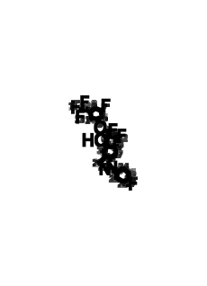 OC(COc1cc(F)cc(C(F)(F)F)c1)(c1ccc2c(cnn2-c2ccc(F)cc2)c1)C(F)(F)F